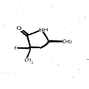 CC1(F)CC(C=O)NC1=O